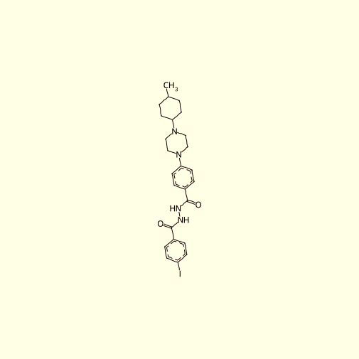 CC1CCC(N2CCN(c3ccc(C(=O)NNC(=O)c4ccc(I)cc4)cc3)CC2)CC1